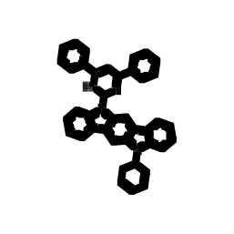 C1=CCC(n2c3ccccc3c3cc4c(cc32)c2ccccc2n4C2N=C(c3ccccc3)C=C(c3ccccc3)N2)C=C1